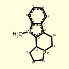 Cn1c2c(c3ccccc31)CCN1CCCC21